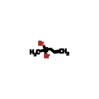 C=CC[Si](C)(Br)Br